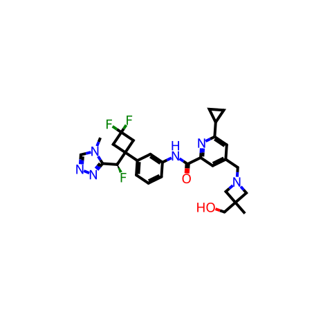 Cn1cnnc1[C@H](F)C1(c2cccc(NC(=O)c3cc(CN4CC(C)(CO)C4)cc(C4CC4)n3)c2)CC(F)(F)C1